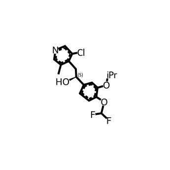 Cc1cncc(Cl)c1C[C@H](O)c1ccc(OC(F)F)c(OC(C)C)c1